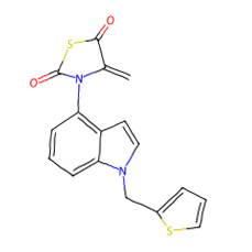 C=C1C(=O)SC(=O)N1c1cccc2c1ccn2Cc1cccs1